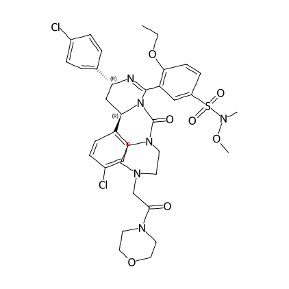 CCOc1ccc(S(=O)(=O)N(C)OC)cc1C1=N[C@@H](c2ccc(Cl)cc2)C[C@H](c2ccc(Cl)cc2)N1C(=O)N1CCN(CC(=O)N2CCOCC2)CC1